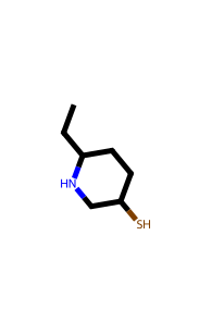 CCC1CCC(S)CN1